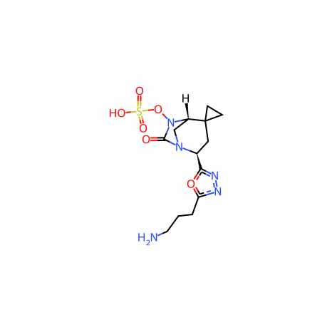 NCCCc1nnc([C@@H]2CC3(CC3)[C@@H]3CN2C(=O)N3OS(=O)(=O)O)o1